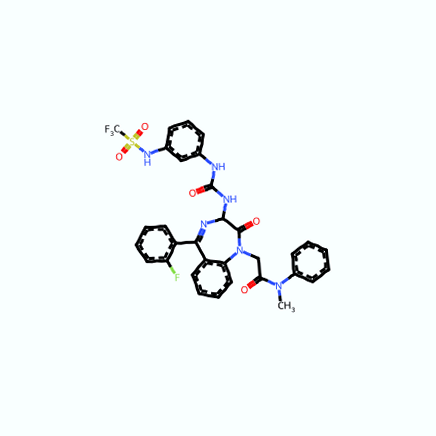 CN(C(=O)CN1C(=O)C(NC(=O)Nc2cccc(NS(=O)(=O)C(F)(F)F)c2)N=C(c2ccccc2F)c2ccccc21)c1ccccc1